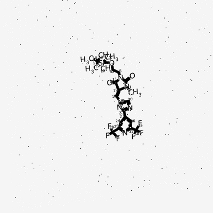 CN1C(=O)N(CCO[Si](C)(C)C(C)(C)C)C(=O)C1=Cn1cnc(-c2cc(C(F)(F)F)nc(C(F)(F)F)c2)n1